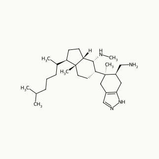 CN[C@@H]1[C@H]([C@]2(C)Cc3cn[nH]c3C[C@@H]2CN)CC[C@]2(C)[C@@H](C(C)CCCC(C)C)CC[C@H]12